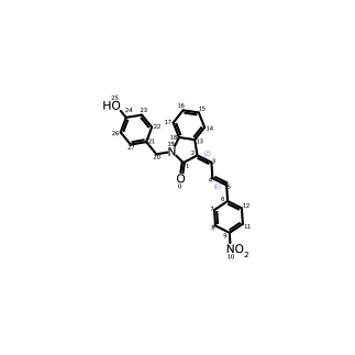 O=C1/C(=C\C=C\c2ccc([N+](=O)[O-])cc2)c2ccccc2N1Cc1ccc(O)cc1